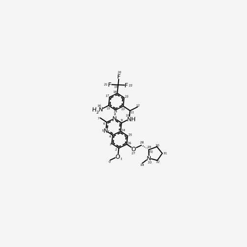 COc1cc2nc(C)nc(NC(C)c3cc(N)cc(C(F)(F)F)c3)c2cc1OC[C@@H]1CCCN1C